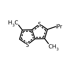 Cc1csc2c(C)c(C(C)C)sc12